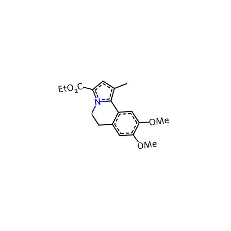 CCOC(=O)c1cc(C)c2n1CCc1cc(OC)c(OC)cc1-2